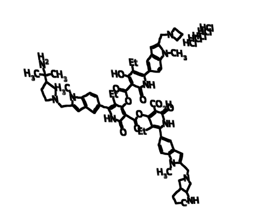 CCc1c(-c2ccc3c(c2)cc(CN2CCC2)n3C)[nH]c(=O)c(C(=O)Oc2c(CC)c(-c3ccc4c(c3)cc(CN3CCC(C(C)(C)N)C3)n4C)[nH]c(=O)c2C(=O)Oc2c(CC)c(-c3ccc4c(c3)cc(CN3CC5CCCNC5C3)n4C)[nH]c(=O)c2C(=O)O)c1O.Cl.Cl.Cl.Cl.Cl